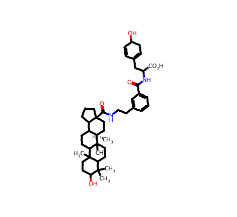 CC1(C)C(O)CCC2(C)C1CCC1(C)C2CCC2C3CCCC3(C(=O)NCCc3cccc(C(=O)NC(CC4=CCC(O)C=C4)C(=O)O)c3)CC[C@]21C